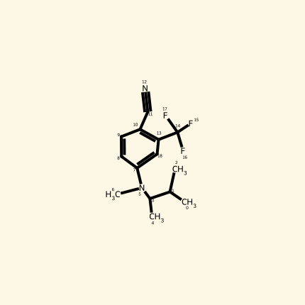 CC(C)C(C)N(C)c1ccc(C#N)c(C(F)(F)F)c1